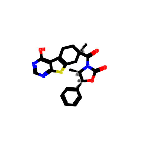 C[C@H]1[C@@H](c2ccccc2)OC(=O)N1C(=O)[C@]1(C)CCc2c(sc3ncnc(O)c23)C1